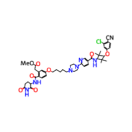 COC(=O)Cc1cc(OCCCCCN2CCN(c3ccc(C(=O)NC4C(C)(C)C(Oc5ccc(C#N)c(Cl)c5)C4(C)C)cn3)CC2)ccc1C(=O)NC1CCC(=O)NC1=O